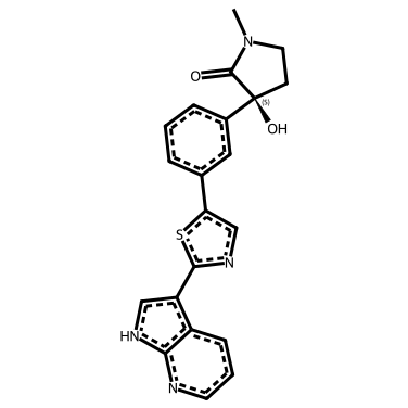 CN1CC[C@](O)(c2cccc(-c3cnc(-c4c[nH]c5ncccc45)s3)c2)C1=O